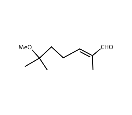 COC(C)(C)CCC=C(C)C=O